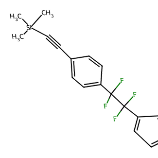 C[Si](C)(C)C#Cc1ccc(C(F)(F)C(F)(F)c2ccccc2)cc1